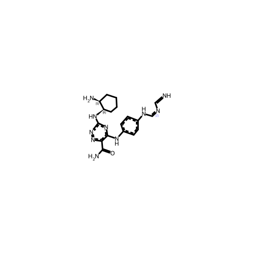 N=C/N=C\Nc1ccc(Nc2nc(N[C@@H]3CCCC[C@@H]3N)nnc2C(N)=O)cc1